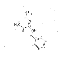 CC/N=C(/NCc1ccccc1)SC